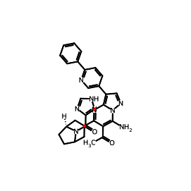 CC(=O)c1c(C2CC3CC[C@@H](C2)N3C(=O)c2nc[nH]n2)nc2c(-c3ccc(-c4ccccc4)nc3)cnn2c1N